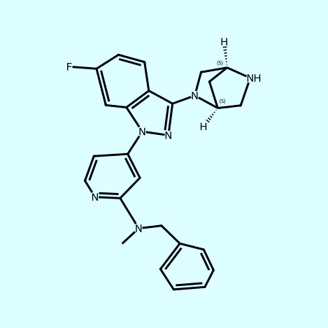 CN(Cc1ccccc1)c1cc(-n2nc(N3C[C@@H]4C[C@H]3CN4)c3ccc(F)cc32)ccn1